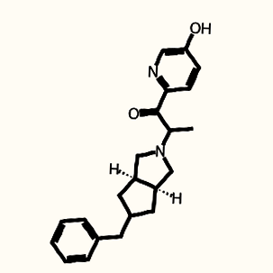 CC(C(=O)c1ccc(O)cn1)N1C[C@H]2CC(Cc3ccccc3)C[C@H]2C1